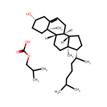 CC(C)CCCC(C)[C@H]1CC[C@H]2[C@@H]3CC=C4C[C@@H](O)CC[C@]4(C)[C@H]3CC[C@]12C.CC(C)COC(=O)O